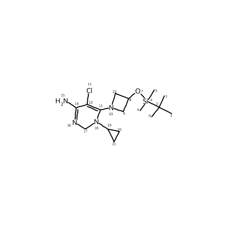 CC(C)(C)[Si](C)(C)OC1CN(C2=C(Cl)C(N)=NCN2C2CC2)C1